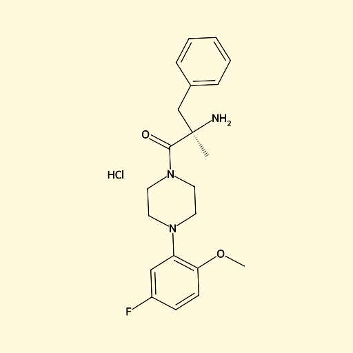 COc1ccc(F)cc1N1CCN(C(=O)[C@](C)(N)Cc2ccccc2)CC1.Cl